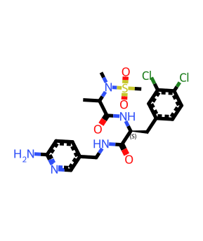 CC(C(=O)N[C@@H](Cc1ccc(Cl)c(Cl)c1)C(=O)NCc1ccc(N)nc1)N(C)S(C)(=O)=O